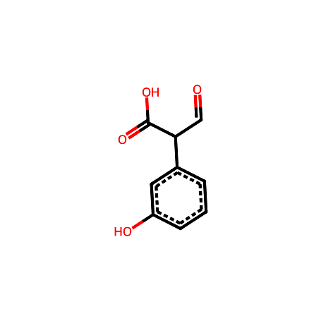 O=CC(C(=O)O)c1cccc(O)c1